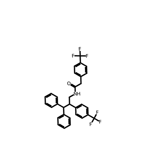 O=C(Cc1ccc(C(F)(F)F)cc1)NCC(c1ccc(C(F)(F)F)cc1)C(c1ccccc1)c1ccccc1